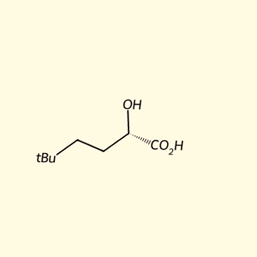 CC(C)(C)CC[C@H](O)C(=O)O